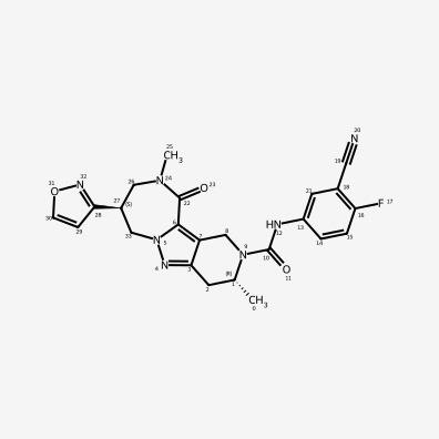 C[C@@H]1Cc2nn3c(c2CN1C(=O)Nc1ccc(F)c(C#N)c1)C(=O)N(C)C[C@H](c1ccon1)C3